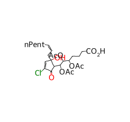 CCCCC/C=C\CC1(O)C=C(Cl)C(=O)C1C(OC(C)=O)C(OC(C)=O)C(CCCC(=O)O)OC(C)=O